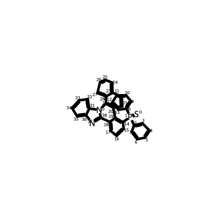 S=P(c1ccccc1)(c1ccccc1)c1cccc2c1c1ccc3ccccc3c1n1c3ccccc3nc21